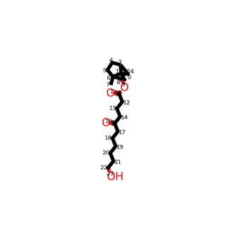 CC1(C)C2CCC1(C)C(OC(=O)CCCC(=O)CCCCCCO)C2